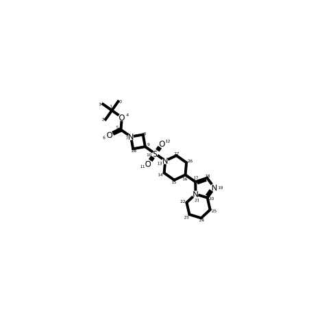 CC(C)(C)OC(=O)N1CC(S(=O)(=O)N2CCC(c3cnc4n3CCCC4)CC2)C1